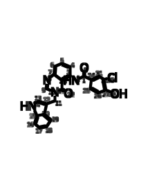 O=C(Nc1cccc2ncn(Cc3c[nH]c4ccccc34)c(=O)c12)c1ccc(O)c(Cl)c1